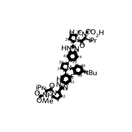 COC(=O)N[C@H](C(=O)N1CCCC1c1nc2ccc([C@H]3CC[C@H](c4ccc5nc([C@@H]6CCCN6C(=O)[C@H](C(C)C)N(C)C(=O)O)[nH]c5c4)N3c3ccc(C(C)(C)C)cc3F)cc2[nH]1)C(C)C